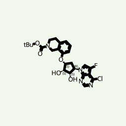 CC(C)(C)OC(=O)N1CCc2cccc(O[C@H]3C[C@@H](n4cc(F)c5c(Cl)ncnc54)[C@H](O)[C@@H]3O)c2C1